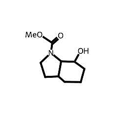 COC(=O)N1CCC2CCCC(O)C21